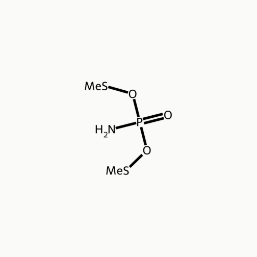 CSOP(N)(=O)OSC